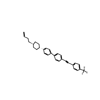 C=CCC[C@H]1CC[C@H](c2ccc(-c3ccc(C#Cc4ccc(C(F)(F)F)cc4)cc3)cc2)CC1